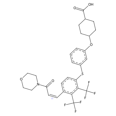 O=C(O)C1CCC(Oc2cccc(Sc3ccc(/C=C\C(=O)N4CCOCC4)c(C(F)(F)F)c3C(F)(F)F)c2)CC1